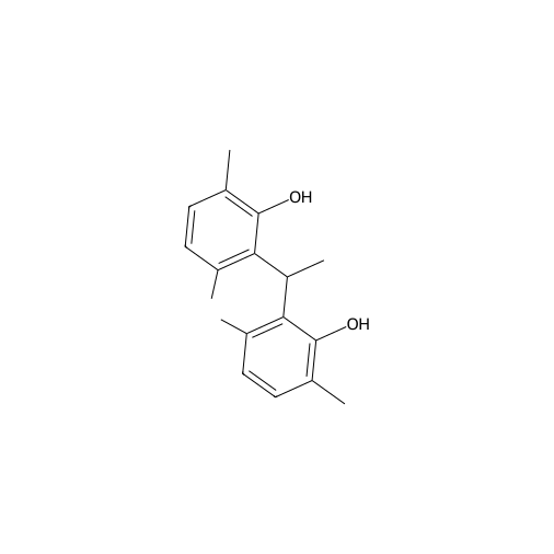 Cc1ccc(C)c(C(C)c2c(C)ccc(C)c2O)c1O